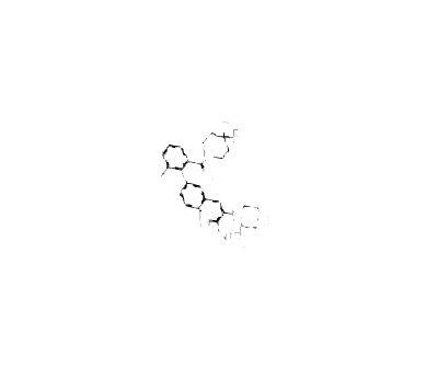 Cc1cccc(C(=O)N2CCC(F)(F)CC2)c1-c1ccc2nc(N)c(N3CCOCC3)cc2c1